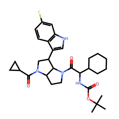 CC(C)(C)OC(=O)NC(C(=O)N1CCC2C1C(c1c[nH]c3cc(F)ccc13)CN2C(=O)C1CC1)C1CCCCC1